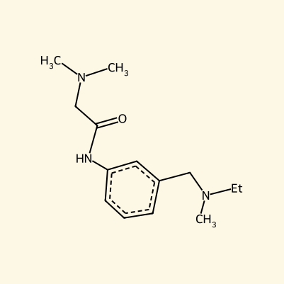 [CH2]CN(C)Cc1cccc(NC(=O)CN(C)C)c1